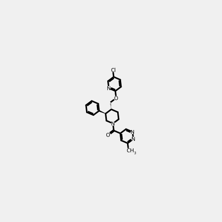 Cc1cc(C(=O)N2CC[C@@H](COc3ccc(Cl)cn3)[C@H](c3ccccc3)C2)cnn1